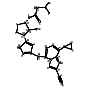 CC(C)NC(=O)O[C@H]1CC[C@@H](c2cc(Nc3ncc(C4CC4)c4nc(C#N)cn34)n[nH]2)[C@@H]1F